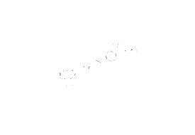 COc1ccc(/C=C/C(=O)Nc2cccc(OC(C)C)c2)cc1O